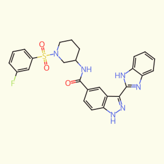 O=C(NC1CCCN(S(=O)(=O)c2cccc(F)c2)C1)c1ccc2[nH]nc(-c3nc4ccccc4[nH]3)c2c1